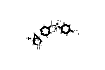 O=S(=O)(Nc1ccc([C@]23CNC[C@H]2C3)cc1)c1ccc(C(F)(F)F)cc1